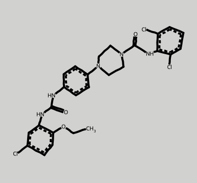 CCOc1ccc(Cl)cc1NC(=O)Nc1ccc(N2CCN(C(=O)Nc3c(Cl)cccc3Cl)CC2)cc1